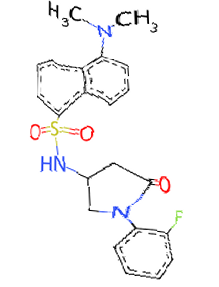 CN(C)c1cccc2c(S(=O)(=O)NC3CC(=O)N(c4ccccc4F)C3)cccc12